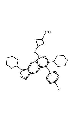 O=C(O)C1CC(Oc2nc(C3CCOCC3)c(-c3ccc(Cl)cc3)c3cc4cnn(C5CCCCO5)c4cc23)C1